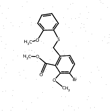 COC(=O)c1c(CSc2ccccc2OC)ccc(Br)c1OC